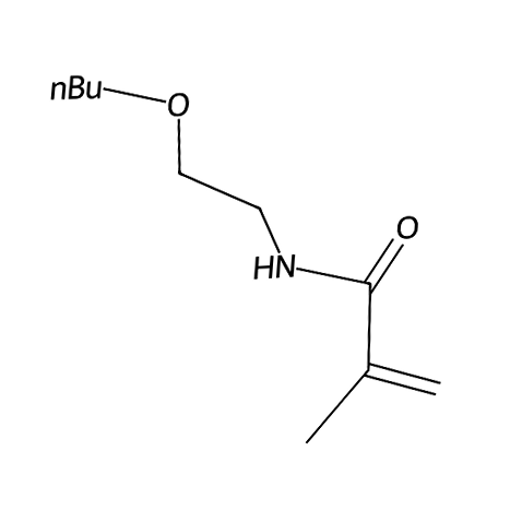 C=C(C)C(=O)NCCOCCCC